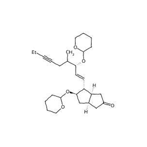 CCC#CCC(C)[C@@H](/C=C/[C@@H]1[C@H]2CC(=O)C[C@H]2C[C@H]1OC1CCCCO1)OC1CCCCO1